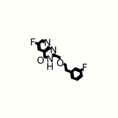 O=c1[nH]c(COCCc2cccc(F)c2)nc2ncc(F)cc12